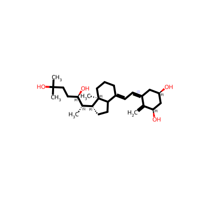 C=C1/C(=C\C=C2CCC[C@@]3(C)C2CC[C@@H]3[C@H](C)[C@H](O)CCC(C)(C)O)C[C@@H](O)C[C@H]1O